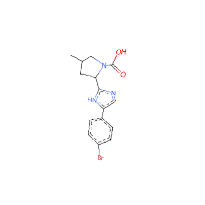 CC1CC(c2ncc(-c3ccc(Br)cc3)[nH]2)N(C(=O)O)C1